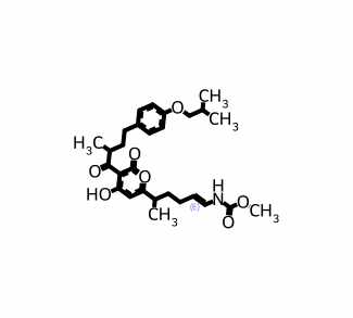 COC(=O)N/C=C/CCC(C)c1cc(O)c(C(=O)C(C)CCc2ccc(OCC(C)C)cc2)c(=O)o1